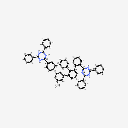 N#Cc1cccc(-c2cccc(-c3ccccc3-c3nc(-c4ccccc4)nc(-c4ccccc4)n3)c2-c2cccc(-c3cccc(-c4nc(-c5ccccc5)nc(-c5ccccc5)n4)c3)c2)c1